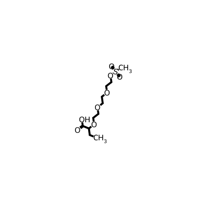 CCC(OCCOCCOCCOS(C)(=O)=O)C(=O)O